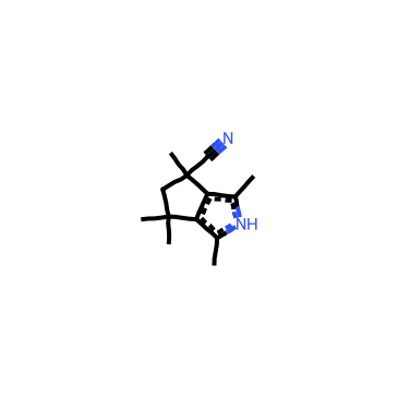 Cc1[nH]c(C)c2c1C(C)(C)CC2(C)C#N